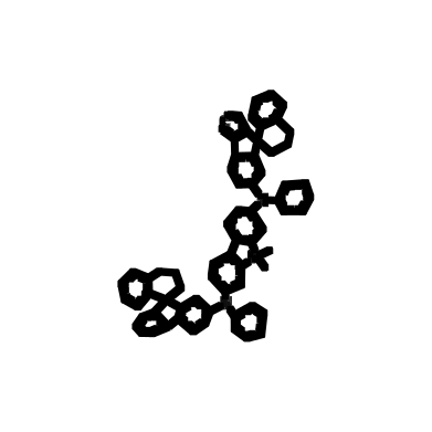 C[Si]1(C)c2cc(N(c3ccccc3)c3ccc4c(c3)C3(CCCc5ccccc53)c3ccccc3-4)ccc2-c2ccc(N(c3ccccc3)c3ccc4c(c3)C3(CCCc5ccccc53)c3ccccc3-4)cc21